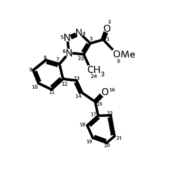 COC(=O)c1nnn(-c2ccccc2/C=C/C(=O)c2ccccc2)c1C